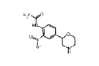 CC(=O)Nc1ccc(C2CNCCO2)cc1[N+](=O)[O-]